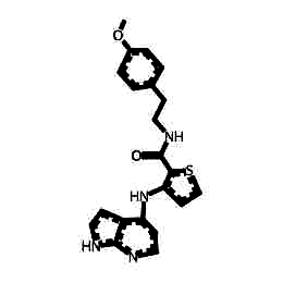 COc1ccc(CCNC(=O)c2sccc2Nc2ccnc3[nH]ccc23)cc1